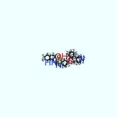 O[C@H]1Cc2ccccc2C1Nc1nc2ccc(OCc3ccncc3-c3ccccc3)cc2s1